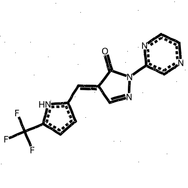 O=C1C(=Cc2ccc(C(F)(F)F)[nH]2)C=NN1c1cnccn1